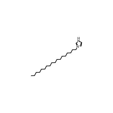 CCCCCCCCCCCCCCCCCC[n+]1cc[nH]c1